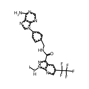 Nc1ncnc2c1ncn2-c1ccc(CNC(=O)c2nn(PI)c3ncc(C(F)(F)C(F)(F)F)cc23)cc1